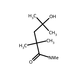 CNC(=O)C(C)(C)CC(C)(C)O